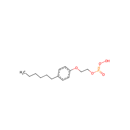 CCCCCCc1ccc(OCCO[PH](=O)OO)cc1